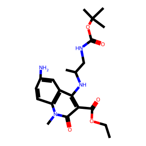 CCOC(=O)c1c(NC(C)CNC(=O)OC(C)(C)C)c2cc(N)ccc2n(C)c1=O